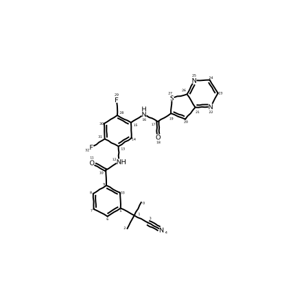 CC(C)(C#N)c1cccc(C(=O)Nc2cc(NC(=O)c3cc4nccnc4s3)c(F)cc2F)c1